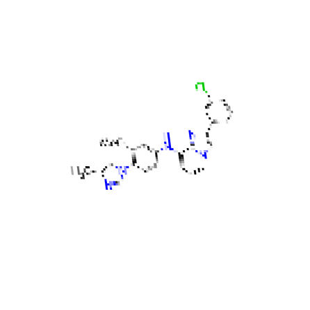 COc1cc(Nc2cccn3cc(-c4cccc(Cl)c4)nc23)ccc1-n1cnc(C)c1